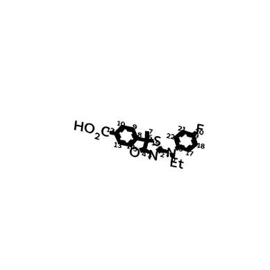 CCN(C1=NC(=O)C(C)(c2ccc(C(=O)O)cc2)S1)c1ccc(F)cc1